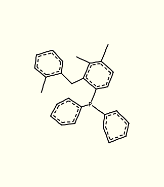 Cc1ccccc1Cc1c(P(c2ccccc2)c2ccccc2)ccc(C)c1C